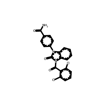 NC(=O)c1ccc(-n2c(=O)n(C(=O)c3c(Cl)cccc3Cl)c3ccccc32)cc1